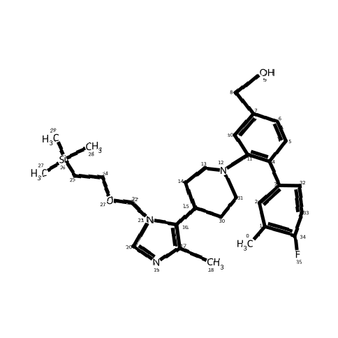 Cc1cc(-c2ccc(CO)cc2N2CCC(c3c(C)ncn3COCC[Si](C)(C)C)CC2)ccc1F